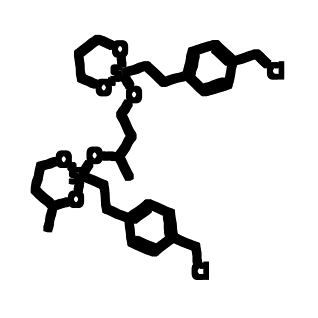 CC(CCO[Si]1(CCc2ccc(CCl)cc2)OCCCO1)O[Si]1(CCc2ccc(CCl)cc2)OCCC(C)O1